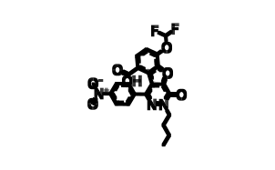 CCCCn1nc(-c2ccc([N+](=O)[O-])cc2)c2c(oc3c(OC(F)F)ccc(C(=O)O)c32)c1=O